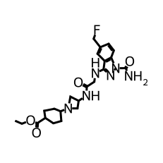 CCOC(=O)C1CCC(N2CC(NC(=O)CNc3nn(C(N)=O)c4ccc(CF)cc34)C2)CC1